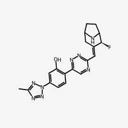 Cc1nnn(-c2ccc(-c3cnc(/C=C4\CC5CCC(N5)[C@H]4F)nn3)c(O)c2)n1